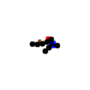 c1ccc(-c2ccc(-c3nc(-c4ccccc4)nc(-c4cccc5oc6cc(-c7ccc8c(c7)sc7cc(-c9ccccc9)ccc78)ccc6c45)n3)cc2)cc1